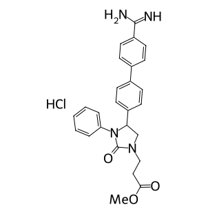 COC(=O)CCN1CC(c2ccc(-c3ccc(C(=N)N)cc3)cc2)N(c2ccccc2)C1=O.Cl